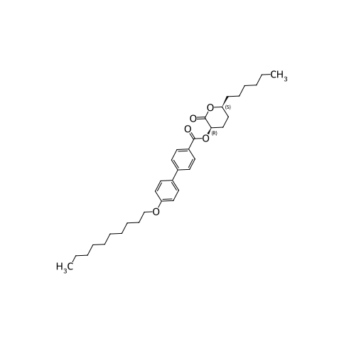 CCCCCCCCCCOc1ccc(-c2ccc(C(=O)O[C@@H]3CC[C@H](CCCCCC)OC3=O)cc2)cc1